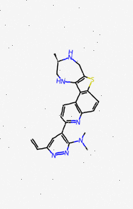 C=Cc1cc(-c2ccc3c(ccc4sc5c(c43)NC[C@@H](C)NC5)n2)c(N(C)C)nn1